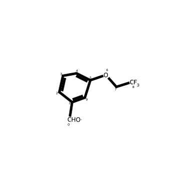 O=[C]c1cccc(OCC(F)(F)F)c1